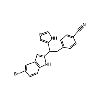 N#Cc1ccc(CC(c2cnc[nH]2)c2cc3cc(Br)ccc3[nH]2)cc1